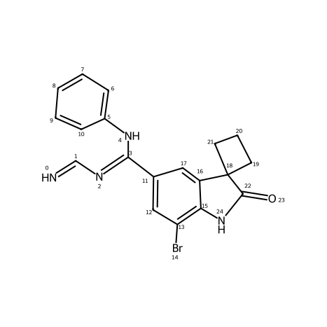 N=C/N=C(\Nc1ccccc1)c1cc(Br)c2c(c1)C1(CCC1)C(=O)N2